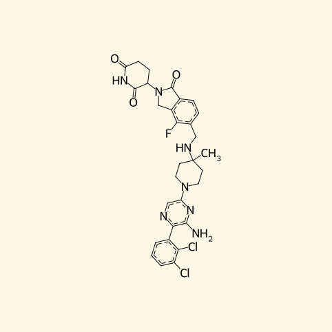 CC1(NCc2ccc3c(c2F)CN(C2CCC(=O)NC2=O)C3=O)CCN(c2cnc(-c3cccc(Cl)c3Cl)c(N)n2)CC1